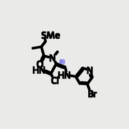 CSCC(C)C(=O)N(C)/C(=C/Nc1cncc(Br)c1)C(=N)Cl